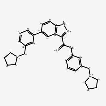 O=C(Nc1cccc(CN2CCCC2)c1)c1n[nH]c2ccc(-c3cncc(CN4CCCC4)c3)cc12